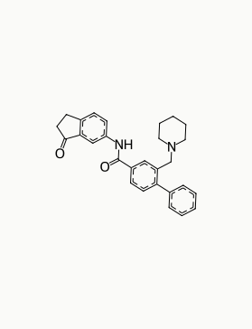 O=C(Nc1ccc2c(c1)C(=O)CC2)c1ccc(-c2ccccc2)c(CN2CCCCC2)c1